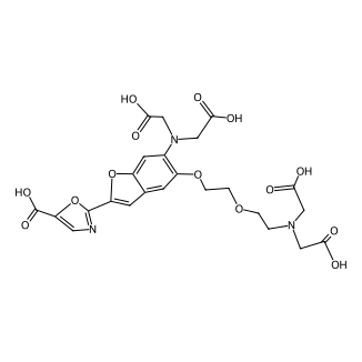 O=C(O)CN(CCOCCOc1cc2cc(-c3ncc(C(=O)O)o3)oc2cc1N(CC(=O)O)CC(=O)O)CC(=O)O